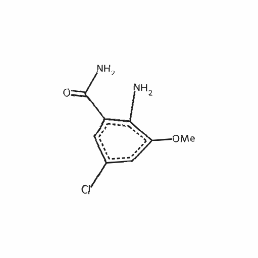 COc1cc(Cl)cc(C(N)=O)c1N